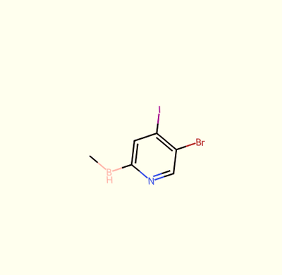 CBc1cc(I)c(Br)cn1